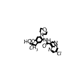 CC1(CO)Cc2cc(NC(=O)c3cnn4cc(Cl)cnc34)c(N3CCOCC3)cc2O1